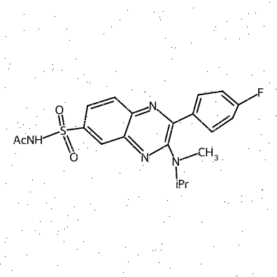 CC(=O)NS(=O)(=O)c1ccc2nc(-c3ccc(F)cc3)c(N(C)C(C)C)nc2c1